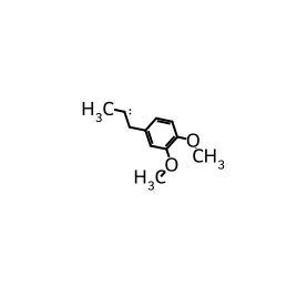 C[C]Cc1ccc(OC)c(OC)c1